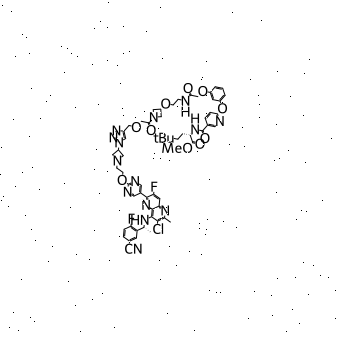 COC(=O)[C@H](CCC(C)(C)C)NC(=O)c1ccc(Oc2cccc(OCC(=O)NCCOC3CN(C(=O)COCc4cn(C5CN(CCOc6ncc(-c7nc8c(N[C@H](C)c9cc(C#N)ccc9F)c(Cl)c(C)nc8cc7F)cn6)C5)nn4)C3)c2)nc1